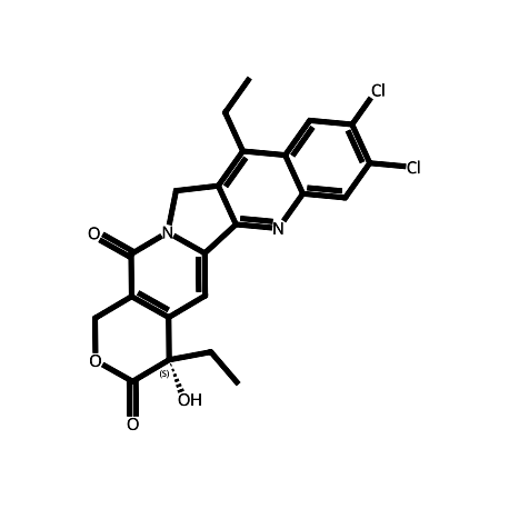 CCc1c2c(nc3cc(Cl)c(Cl)cc13)-c1cc3c(c(=O)n1C2)COC(=O)[C@]3(O)CC